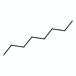 CCC[CH]CCCC